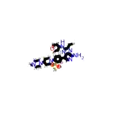 CCc1nc2c(N)ncc(-c3ccc(N4CCC(N5CCN(C)CC5)CC4)c(S(C)(=O)=O)c3)c2nc1NC1CCOCC1